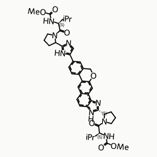 COC(=O)N[C@H](C(=O)N1CCCC1c1ncc(-c2ccc3c(c2)COc2cc4c(ccc5[nH]c([C@@H]6CCCN6C(=O)[C@@H](NC(=O)OC)C(C)C)nc54)cc2-3)[nH]1)C(C)C